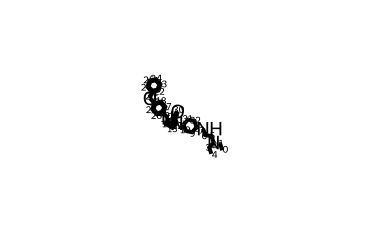 CCN(CC)CCNC1CCC(n2ccn(-c3ccc(Oc4ccccc4)cc3)c2=O)CC1